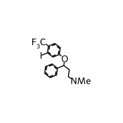 CNCCC(Oc1ccc(C(F)(F)F)c(I)c1)c1ccccc1